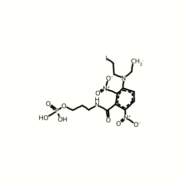 [CH2]CN(CCI)c1ccc([N+](=O)[O-])c(C(=O)NCCCOP(=O)(O)O)c1[N+](=O)[O-]